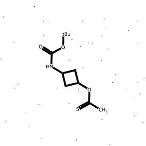 CC(=S)OC1CC(NC(=O)OC(C)(C)C)C1